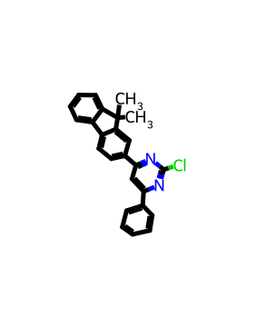 CC1(C)c2ccccc2-c2ccc(-c3cc(-c4ccccc4)nc(Cl)n3)cc21